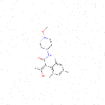 CON1CCC(NC(=O)/C(=C(\C)O)c2c(C)cc(C)cc2C)CC1